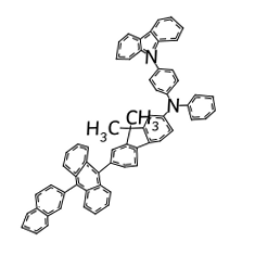 CC1(C)c2cc(-c3c4ccccc4c(-c4ccc5ccccc5c4)c4ccccc34)ccc2-c2ccc(N(c3ccccc3)c3ccc(-n4c5ccccc5c5ccccc54)cc3)cc21